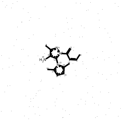 C=C(/C=C\C)n1nc(C)c(N)c1-n1c(C)ccc1C